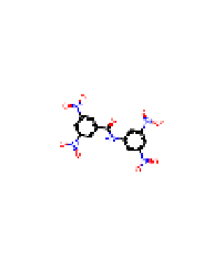 O=C(Nc1cc([N+](=O)[O-])cc([N+](=O)[O-])c1)c1cc([N+](=O)[O-])cc([N+](=O)[O-])c1